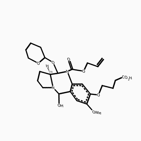 C=CCOC(=O)N1c2cc(OCCCC(=O)O)c(OC)cc2C(O)N2CCC[C@H]2C1OC1CCCCO1